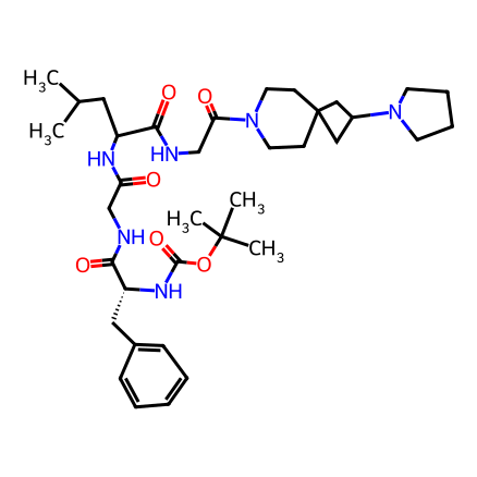 CC(C)CC(NC(=O)CNC(=O)[C@@H](Cc1ccccc1)NC(=O)OC(C)(C)C)C(=O)NCC(=O)N1CCC2(CC1)CC(N1CCCC1)C2